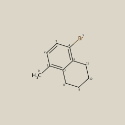 Cc1ccc(Br)c2c1CCCC2